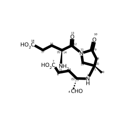 C[C@]1(N[C@H](C=O)CCC(=O)O)CC(=O)N(C(=O)[C@@H](N)CCC(=O)O)C1